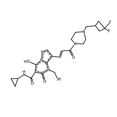 CC(C)Cn1c(=O)c(C(=O)NC2CC2)c(O)n2ncc(/C=C/C(=O)N3CCN(CC4CC(F)(F)C4)CC3)c12